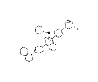 C/C=C(\CC)C1=CC=C(/C(CNC2C=CCCC2)=C2\CCC=C\C2=C(\C)C2CC=C([C@@H]3CC=CC4=C3CCC=C4)CC2)CC1